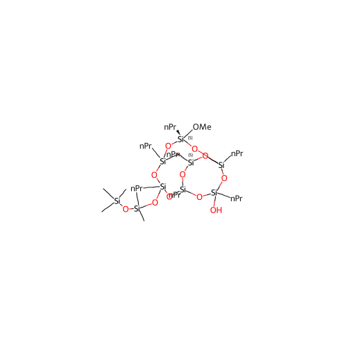 CCC[Si]1(O)O[Si]2(CCC)O[Si](CCC)(O[Si](C)(C)O[Si](C)(C)C)O[Si]3(CCC)C[Si@](CCC)(O2)O[Si](CCC)(O1)O[Si@@](CCC)(OC)O3